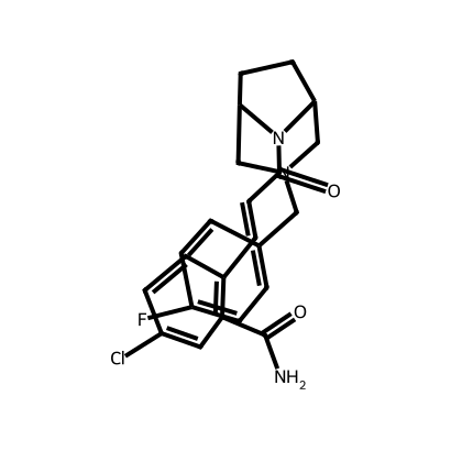 NC(=O)c1cc(Cl)ccc1C=CC(=O)N1C2CCC1CN(Cc1ccc(F)cc1)C2